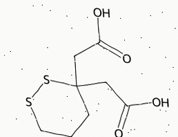 O=C(O)CC1(CC(=O)O)CCCSS1